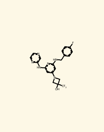 OC1(C(F)(F)F)CN(c2cc(NCc3ccc(F)cc3)nc(Nc3cnccn3)c2)C1